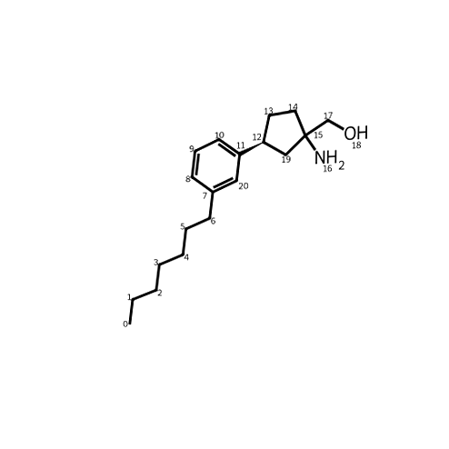 CCCCCCCc1cccc([C@H]2CCC(N)(CO)C2)c1